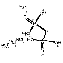 Cl.Cl.Cl.Cl.O=P(O)(O)CP(=O)(O)O